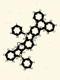 c1ccc(-n2c3cc4c5ccccc5c5ccccc5c4cc3c3ccc4c(oc5c6ccccc6n(-c6ccccc6)c45)c32)cc1